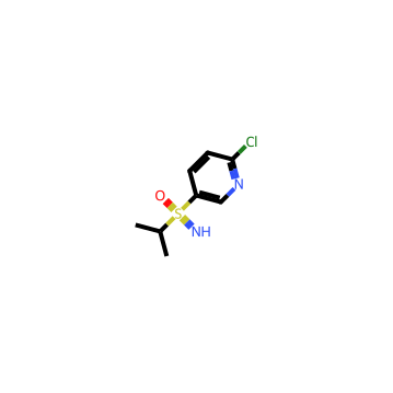 CC(C)S(=N)(=O)c1ccc(Cl)nc1